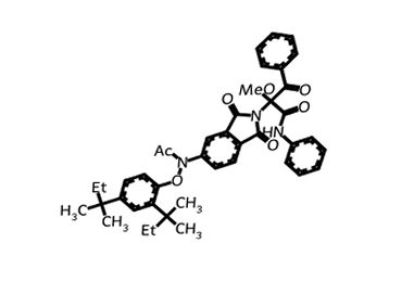 CCC(C)(C)c1ccc(ON(C(C)=O)c2ccc3c(c2)C(=O)N(C(OC)(C(=O)Nc2ccccc2)C(=O)c2ccccc2)C3=O)c(C(C)(C)CC)c1